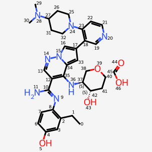 CCc1cc(O)ccc1N=C(N)c1cnn2cc(-c3cnccc3N3CCC(N(C)C)CC3)cc2c1N[C@H]1COCC[C@@H]1O.O=CO